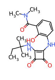 CCC(C)(C)Nc1c(Nc2cccc(C(=O)N(C)C)c2O)c(=O)c1=O